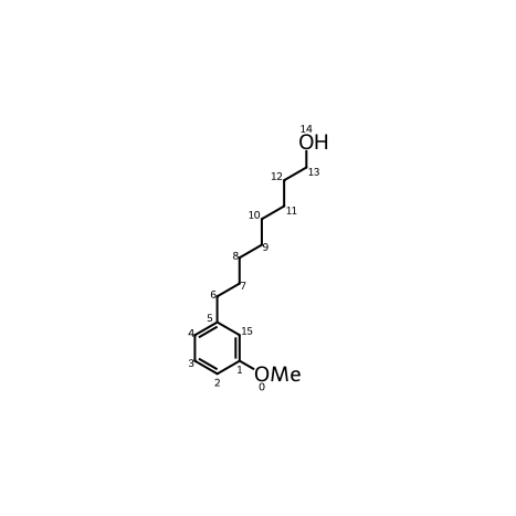 COc1cccc(CCCCCCCCO)c1